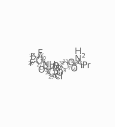 CC(C)[C@H](N)C(=O)O[C@H]1CC[C@H](S(=O)(=O)c2cc(C(=O)Nc3cc(F)c(F)c(F)c3)ccc2Cl)CC1